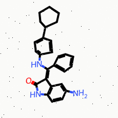 Nc1ccc2c(c1)/C(=C(/Nc1ccc(C3CCCCC3)cc1)c1ccccc1)C(=O)N2